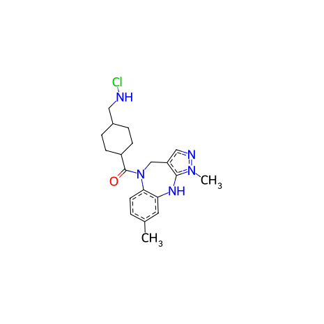 Cc1ccc2c(c1)Nc1c(cnn1C)CN2C(=O)C1CCC(CNCl)CC1